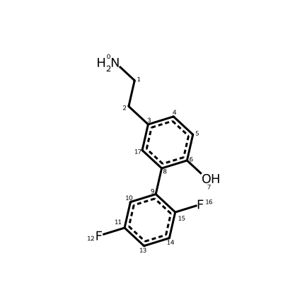 NCCc1ccc(O)c(-c2cc(F)ccc2F)c1